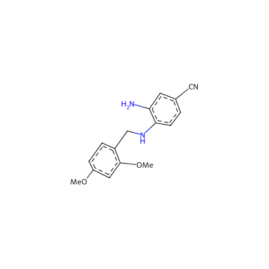 COc1ccc(CNc2ccc(C#N)cc2N)c(OC)c1